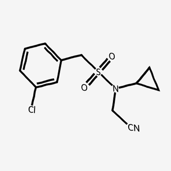 N#CCN(C1CC1)S(=O)(=O)Cc1cccc(Cl)c1